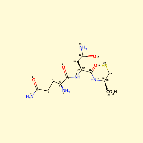 NC(=O)CC[C@H](N)C(=O)N[C@@H](CC(N)=O)C(=O)N[C@@H](CS)C(=O)O